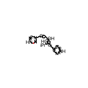 CC(C)CCC1=C(O)C(C(O)CCC2CCC(OCCCCN3CCCN(C)CCNCCCN(C)CC3)CC2)CCC1OCCCCN1CCCN(C)CCNCCCN(C)CC1